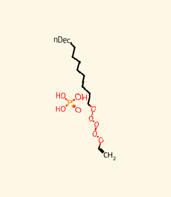 C=COOOOOCCCCCCCCCCCCCCCCCC.O=P(O)(O)O